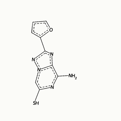 Nc1nc(S)cn2nc(-c3ccco3)nc12